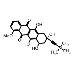 COc1cccc2c1C(=O)c1c(O)c3c(c(O)c1C2=O)C[C@@](O)(C#C[Si](C)(C)C)C[C@H]3O